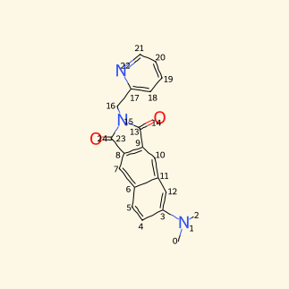 CN(C)c1ccc2cc3c(cc2c1)C(=O)N(Cc1ccccn1)C3=O